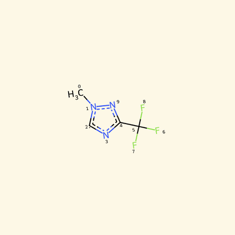 Cn1[c]nc(C(F)(F)F)n1